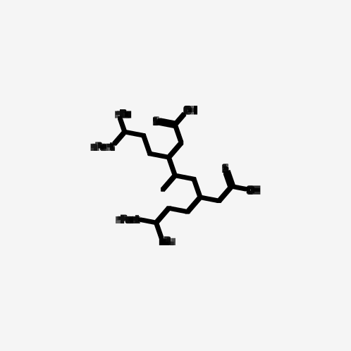 CCCCCC(CCCC)CCC(CC(O)=S)CC(C)C(CCC(CCCC)CCCCC)CC(O)=S